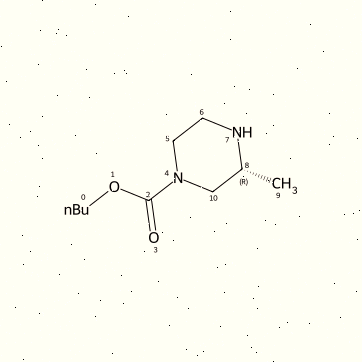 CCCCOC(=O)N1CCN[C@H](C)C1